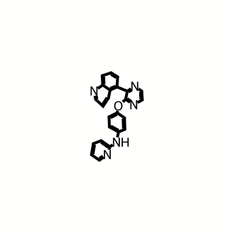 c1ccc(Nc2ccc(Oc3nccnc3-c3cccc4ncccc34)cc2)nc1